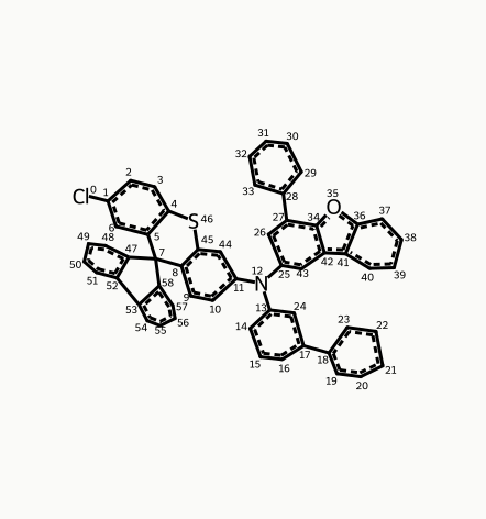 Clc1ccc2c(c1)C1(c3ccc(N(c4cccc(-c5ccccc5)c4)c4cc(-c5ccccc5)c5oc6ccccc6c5c4)cc3S2)c2ccccc2-c2ccccc21